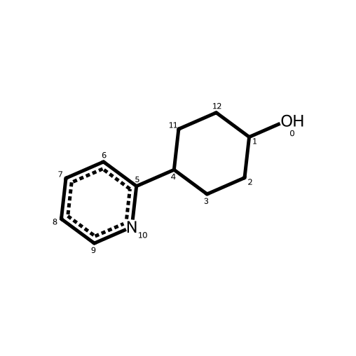 OC1CCC(c2ccccn2)CC1